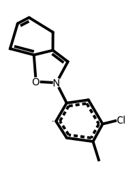 Cc1c[c]c(N2C=C3CC=CC=C3O2)cc1Cl